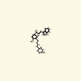 COc1ccc2c(c1CCCCC1CCNCC1)OC(=Cc1n[nH]c3ccccc13)C2=O